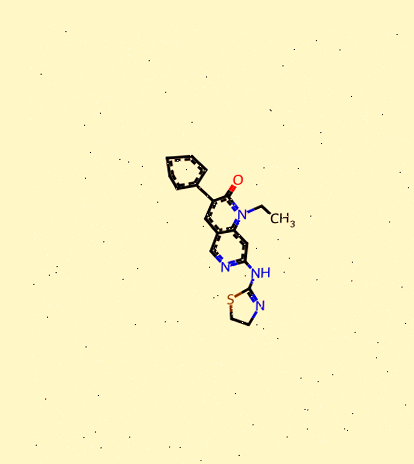 CCn1c(=O)c(-c2ccccc2)cc2cnc(NC3=NCCS3)cc21